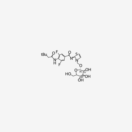 CC(C)(C)CC(=O)Nc1c(F)cc(C(=O)N=c2sccn2CO[C@H]2OC(CO)[C@H](O)[C@H](O)[C@@H]2O)cc1F